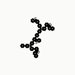 c1ccc(-c2ccc(N(c3ccc(-c4ccc(-c5ccc(-c6ccc(N(c7ccc(-c8ccc9sc%10ccccc%10c9c8)cc7)c7cccc(-c8cccc9oc%10c%11ccccc%11ccc%10c89)c7)cc6)cc5)c5c4sc4ccccc45)cc3)c3cccc(-c4cccc5oc6c7ccccc7ccc6c45)c3)cc2)cc1